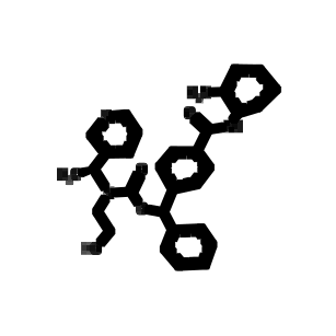 C[C@@H](c1cccnc1)N(CCO)C(=O)OC(c1ccccc1)c1ccc(C(=O)Nc2ccccc2N)cc1